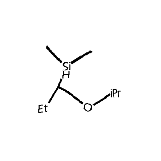 [CH2]CC(OC(C)C)[SiH](C)C